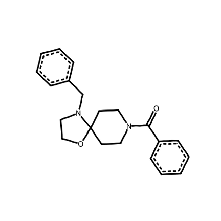 O=C(c1ccccc1)N1CCC2(CC1)OCCN2Cc1ccccc1